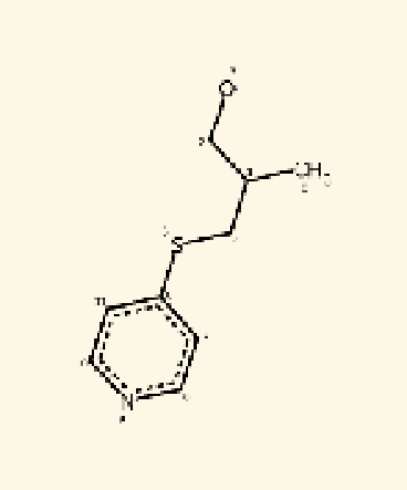 CC(C[O])CSc1ccncc1